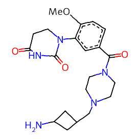 COc1ccc(C(=O)N2CCN(CC3CC(N)C3)CC2)cc1N1CCC(=O)NC1=O